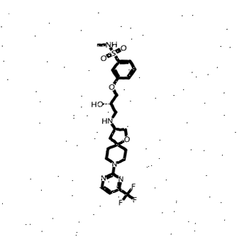 CNS(=O)(=O)c1cccc(OC[C@@H](O)CNC2COC3(CCN(c4nccc(C(F)(F)F)n4)CC3)C2)c1